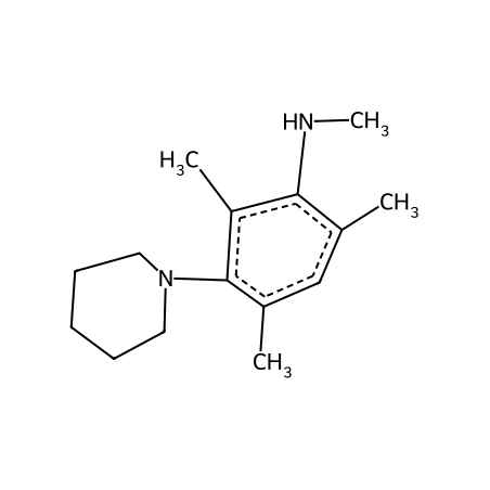 CNc1c(C)cc(C)c(N2CCCCC2)c1C